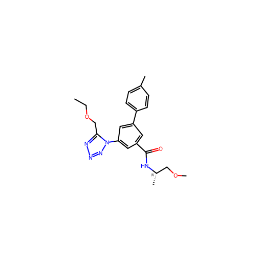 CCOCc1nnnn1-c1cc(C(=O)N[C@@H](C)COC)cc(-c2ccc(C)cc2)c1